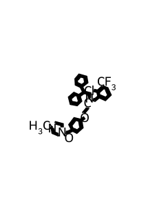 CN1CCN(C(=O)c2ccc(OCCCN(Cc3cccc(C(F)(F)F)c3Cl)CC(c3ccccc3)c3ccccc3)cc2)CC1